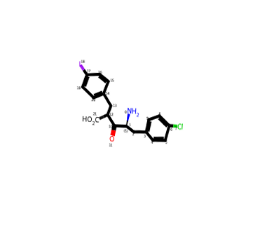 N[C@@H](Cc1ccc(Cl)cc1)C(=O)C(Cc1ccc(I)cc1)C(=O)O